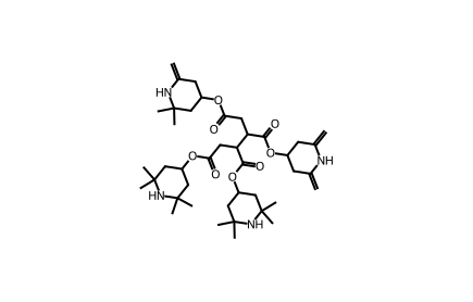 C=C1CC(OC(=O)C(CC(=O)OC2CC(=C)NC(C)(C)C2)C(CC(=O)OC2CC(C)(C)NC(C)(C)C2)C(=O)OC2CC(C)(C)NC(C)(C)C2)CC(=C)N1